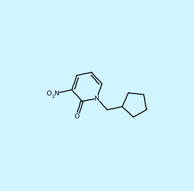 O=c1c([N+](=O)[O-])cccn1CC1CCCC1